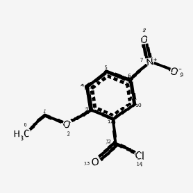 CCOc1ccc([N+](=O)[O-])cc1C(=O)Cl